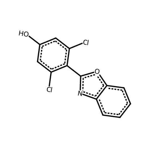 Oc1cc(Cl)c(-c2nc3ccccc3o2)c(Cl)c1